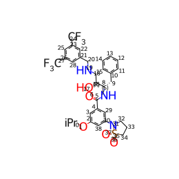 CC(C)Oc1cc(C(=O)N[C@@H](Cc2ccccc2)[C@H](O)CNCc2cc(C(F)(F)F)cc(C(F)(F)F)c2)cc(N2CCCS2(=O)=O)c1